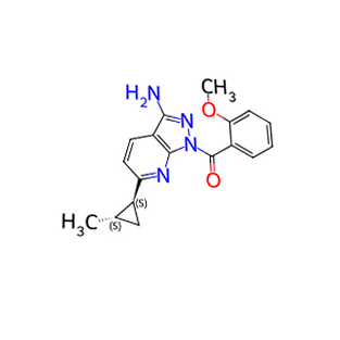 COc1ccccc1C(=O)n1nc(N)c2ccc([C@H]3C[C@@H]3C)nc21